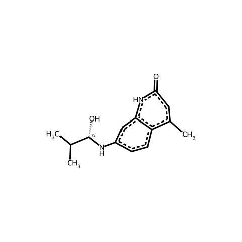 Cc1cc(=O)[nH]c2cc(N[C@@H](O)C(C)C)ccc12